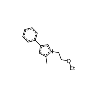 CCOCCn1cc(-c2ccccc2)cc1C